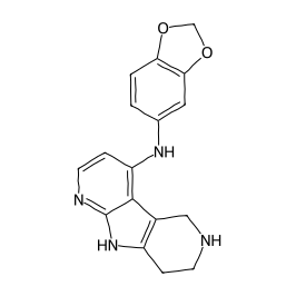 c1cc(Nc2ccc3c(c2)OCO3)c2c3c([nH]c2n1)CCNC3